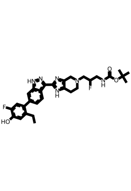 CCc1cc(O)c(F)cc1-c1ccc2c(-c3nc4c([nH]3)CCN(CC(F)CNC(=O)OC(C)(C)C)C4)n[nH]c2c1